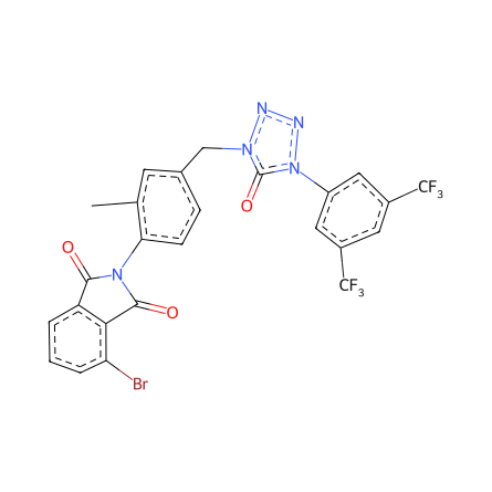 Cc1cc(Cn2nnn(-c3cc(C(F)(F)F)cc(C(F)(F)F)c3)c2=O)ccc1N1C(=O)c2cccc(Br)c2C1=O